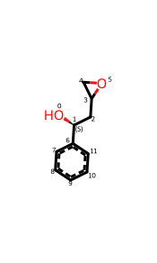 O[C@@H](CC1CO1)c1ccccc1